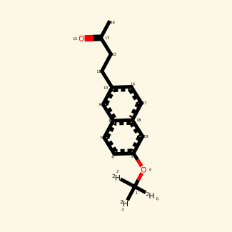 [2H]C([2H])([2H])Oc1ccc2cc(CCC(C)=O)ccc2c1